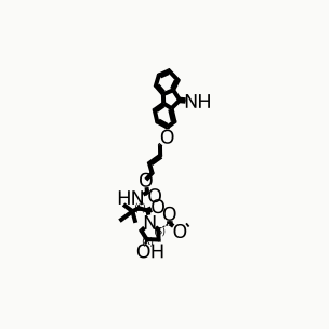 COC(=O)[C@@H]1C[C@@H](O)CN1C(=O)[C@@H](NC(=O)OCC=CCOc1ccc2c(c1)C(=N)c1ccccc1-2)C(C)(C)C